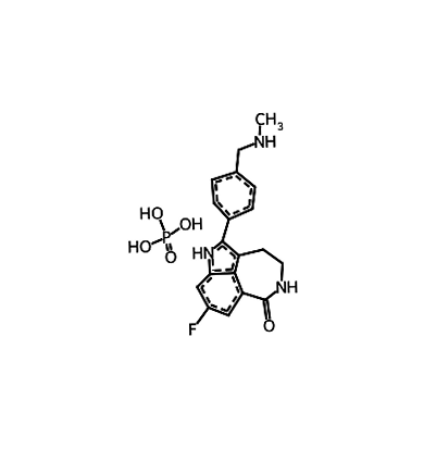 CNCc1ccc(-c2[nH]c3cc(F)cc4c3c2CCNC4=O)cc1.O=P(O)(O)O